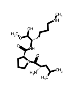 CNCCCC[C@H](NC(=O)[C@@H]1CCCN1C(=O)[C@@H](N)CC(C)C)C(O)OC